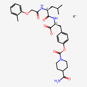 Cc1ccccc1OCC(=O)N[C@@H](CC(C)C)C(=O)N[C@@H](Cc1ccc(OC(=O)N2CCC(C(N)=O)CC2)cc1)C(=O)[O-].[K+]